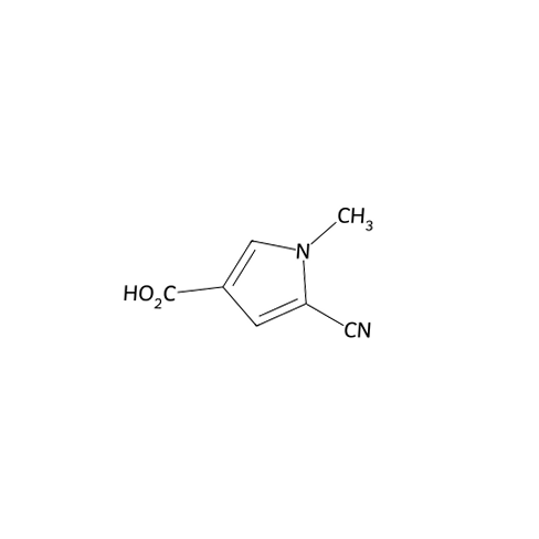 Cn1cc(C(=O)O)cc1C#N